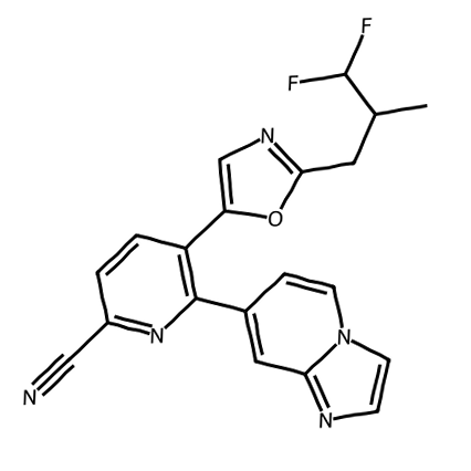 CC(Cc1ncc(-c2ccc(C#N)nc2-c2ccn3ccnc3c2)o1)C(F)F